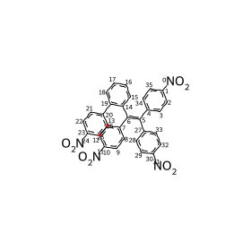 O=[N+]([O-])c1ccc(C(=C(c2ccc([N+](=O)[O-])cc2)c2ccccc2-c2ccc([N+](=O)[O-])cc2)c2ccc([N+](=O)[O-])cc2)cc1